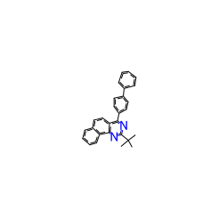 CC(C)(C)c1nc(-c2ccc(-c3ccccc3)cc2)c2ccc3ccccc3c2n1